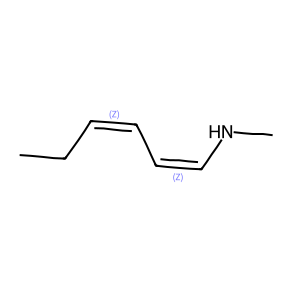 CC/C=C\C=C/NC